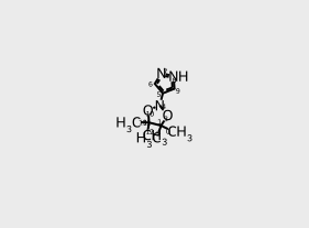 CC1(C)ON(c2cn[nH]c2)OC1(C)C